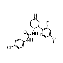 COc1cnc([C@@H]2CNCC[C@H]2NC(=O)Nc2ccc(Cl)cc2)c(F)c1